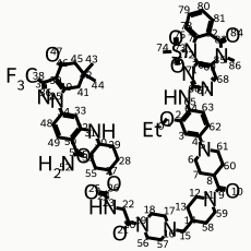 CCOc1cc(N2CCC(C(=O)N3CCC(CN4CCN(C(=O)CNC(=O)OC5CCC(Nc6cc(-n7nc(C(F)(F)F)c8c7CC(C)(C)CC8=O)ccc6C(N)=O)CC5)CC4)CC3)CC2)ccc1Nc1ncc2c(n1)N(S(C)(=O)=O)c1ccccc1C(=O)N2C